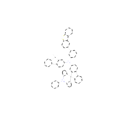 CC1(C)c2ccccc2-c2ccc(N(c3cccc(-c4ccc5sc6ccccc6c5c4)c3)c3ccc4c(c3)C3(c5ccccc5-4)c4ccccc4N(c4ccccc4)c4ccccc43)cc21